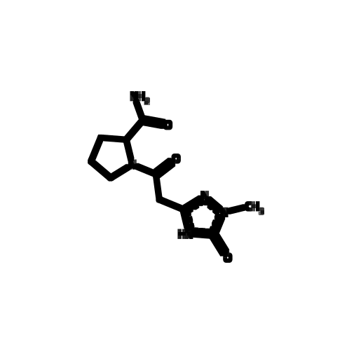 Cn1nc(CC(=O)N2CCCC2C(N)=O)[nH]c1=O